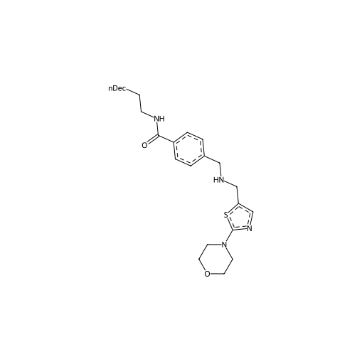 CCCCCCCCCCCCNC(=O)c1ccc(CNCc2cnc(N3CCOCC3)s2)cc1